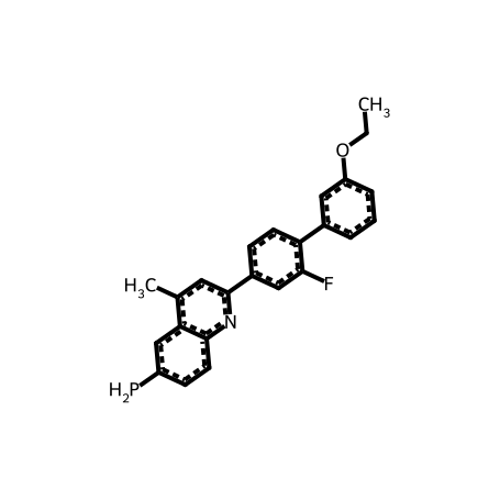 CCOc1cccc(-c2ccc(-c3cc(C)c4cc(P)ccc4n3)cc2F)c1